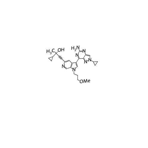 COCCCn1cc(-c2nc(N)nc3cn(C4CC4)nc23)c2cc(C#CC(C)(O)C3CC3)ncc21